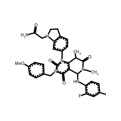 COc1ccc(Cn2c(=O)c3c(n(-c4ccc5c(c4)N(CC(N)=O)CC5)c2=O)C(C)C(=O)N(C)C3Nc2ccc(I)cc2F)cc1